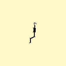 CCCC#C[P]